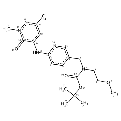 COCCN(Cc1ccc(Nc2cc(Cl)nn(C)c2=O)nc1)C(=O)OC(C)(C)C